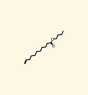 C=CCCCCCCCCC(=O)OCCCC